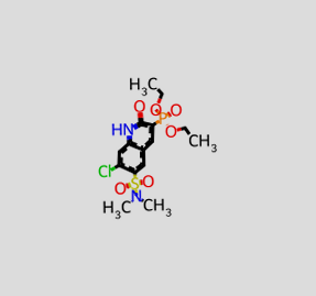 CCOP(=O)(OCC)c1cc2cc(S(=O)(=O)N(C)C)c(Cl)cc2[nH]c1=O